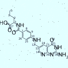 CCCC(NC(=O)c1ccc(NCc2cnc3nc(N)[nH]c(=O)c3c2)cc1)C(=O)O